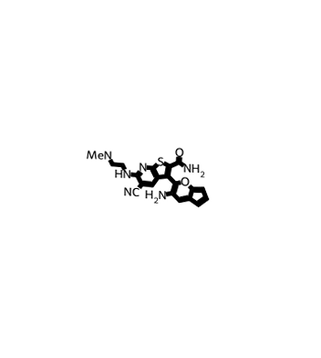 CNCCNc1nc2sc(C(N)=O)c(-c3oc4cccc-4cc3N)c2cc1C#N